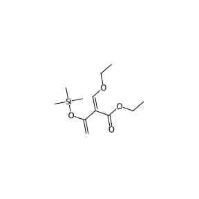 C=C(O[Si](C)(C)C)C(=COCC)C(=O)OCC